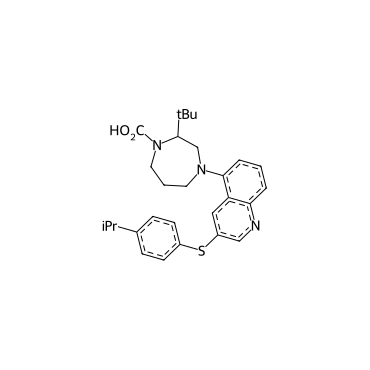 CC(C)c1ccc(Sc2cnc3cccc(N4CCCN(C(=O)O)C(C(C)(C)C)C4)c3c2)cc1